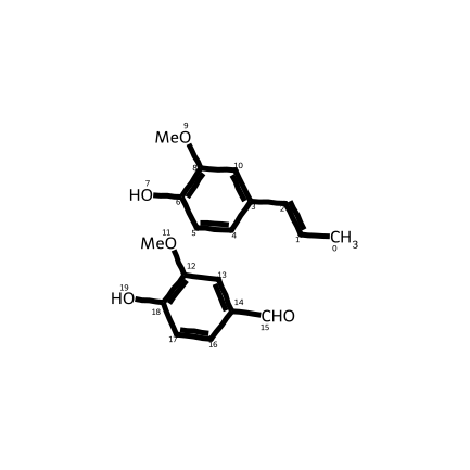 CC=Cc1ccc(O)c(OC)c1.COc1cc(C=O)ccc1O